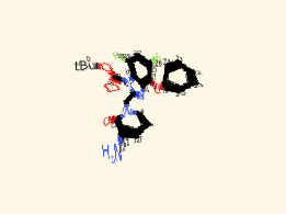 CC(C)(C)OC(=O)n1c(Cn2cccc(N)c2=O)nc2c(Oc3ccccc3)c(F)cc(F)c21